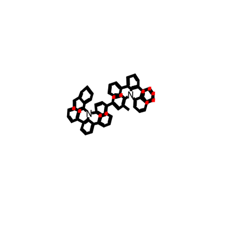 Cc1cc(-c2ccc(N(c3c(-c4ccccc4)cccc3-c3ccccc3)c3cccc4ccccc34)c(C)c2)ccc1N(c1c(-c2ccccc2)cccc1-c1ccccc1)c1cccc2ccccc12